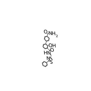 NC(=O)c1ccc(-c2cccc(C(=O)NCc3csc(-c4ccccc4)n3)c2O)cc1